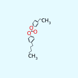 CCCCCc1ccc(OC(=O)Oc2ccc(CC)cc2)cc1